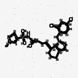 Cn1cc(S(=O)(=O)NC(=O)NCC=C2CCCc3cnn(Cc4ccc(Cl)cc4Cl)c32)cn1